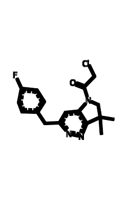 CC1(C)CN(C(=O)CCl)c2cc(Cc3ccc(F)cc3)nnc21